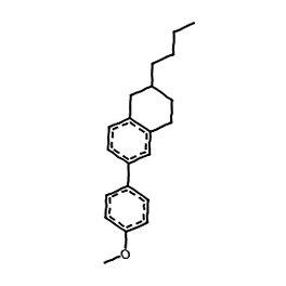 CCCCC1CCc2cc(-c3ccc(OC)cc3)ccc2C1